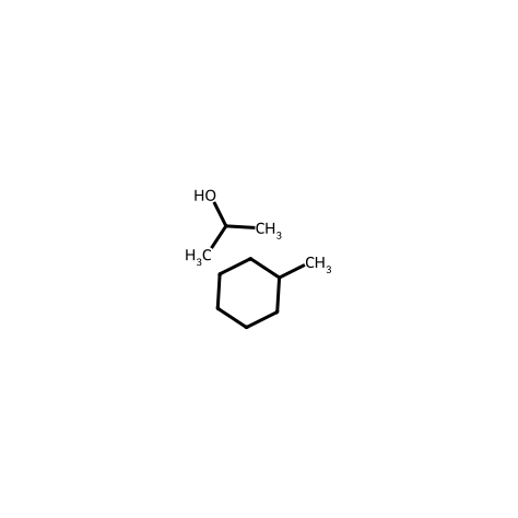 CC(C)O.CC1CCCCC1